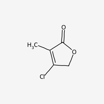 CC1=C(Cl)COC1=O